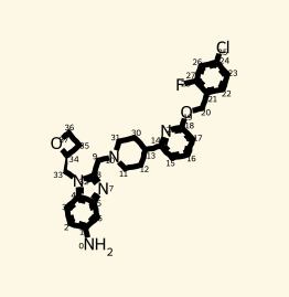 Nc1ccc2c(c1)nc(CN1CCC(c3cccc(OCc4ccc(Cl)cc4F)n3)CC1)n2C[C@@H]1CCO1